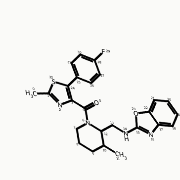 Cc1nc(C(=O)N2CCCC(C)C2CNc2nc3ccccc3o2)c(-c2ccc(F)cc2)s1